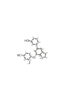 N#Cc1ccc(Oc2nc(-c3cccc(O)c3)nc3ccsc23)c(F)c1